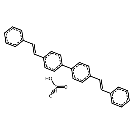 C(=Cc1ccc(-c2ccc(C=Cc3ccccc3)cc2)cc1)c1ccccc1.O=[SH](=O)O